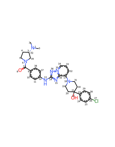 CN(C)[C@H]1CCN(C(=O)c2ccc(Nc3nc4c(N5CCC(O)(c6ccc(Cl)cc6)CC5)cccn4n3)cc2)C1